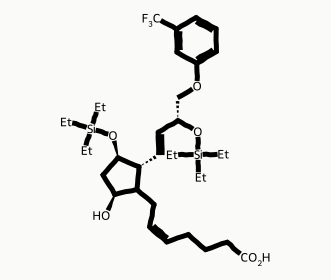 CC[Si](CC)(CC)O[C@H](/C=C/[C@@H]1C(C/C=C\CCCC(=O)O)[C@@H](O)C[C@H]1O[Si](CC)(CC)CC)COc1cccc(C(F)(F)F)c1